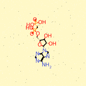 Nc1ncnc2c1ncn2[C@@H]1O[C@H](COP(=O)(O)CP(=O)(O)O)C(O)[C@@H]1O